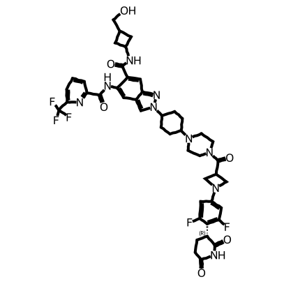 O=C1CC[C@H](c2c(F)cc(N3CC(C(=O)N4CCN(C5CCC(n6cc7cc(NC(=O)c8cccc(C(F)(F)F)n8)c(C(=O)NC8CC(CO)C8)cc7n6)CC5)CC4)C3)cc2F)C(=O)N1